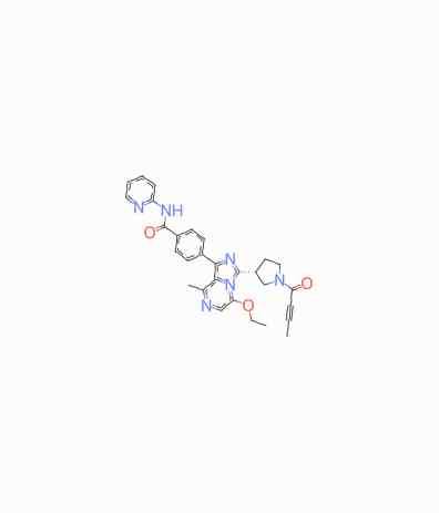 CC#CC(=O)N1CC[C@@H](c2nc(-c3ccc(C(=O)Nc4ccccn4)cc3)c3c(C)ncc(OCC)n23)C1